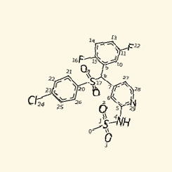 CS(=O)(=O)Nc1cc(C(c2cc(F)ccc2F)S(=O)(=O)c2ccc(Cl)cc2)ccn1